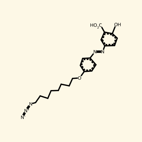 [N-]=[N+]=NCCCCCCCCOc1ccc(/N=N/c2ccc(O)c(C(=O)O)c2)cc1